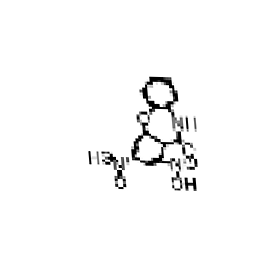 O=C1Nc2ccccc2OC2C=C([N+](=O)O)C=C([N+](=O)O)C12